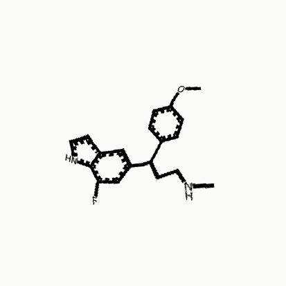 CNCCC(c1ccc(OC)cc1)c1cc(F)c2[nH]ccc2c1